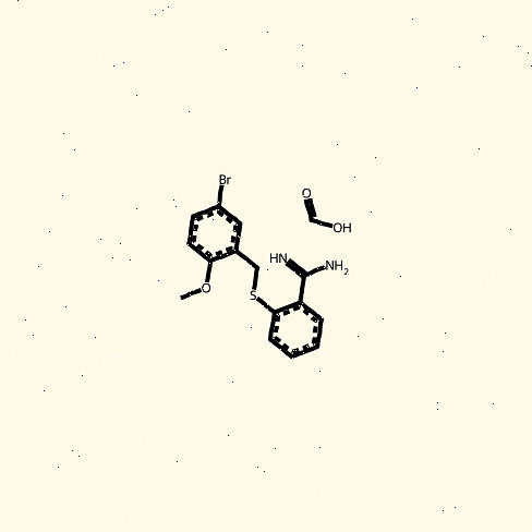 COc1ccc(Br)cc1CSc1ccccc1C(=N)N.O=CO